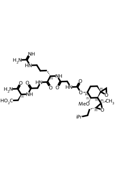 CO[C@@H]1[C@H](OC(=O)NCC(=O)N[C@@H](CCCNC(=N)N)C(=O)NCC(=O)N[C@@H](CC(=O)O)C(N)=O)CC[C@]2(CO2)[C@H]1[C@@]1(C)O[C@@H]1CCC(C)C